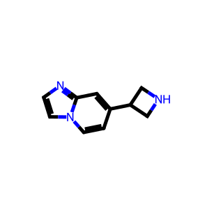 c1cn2ccc(C3CNC3)cc2n1